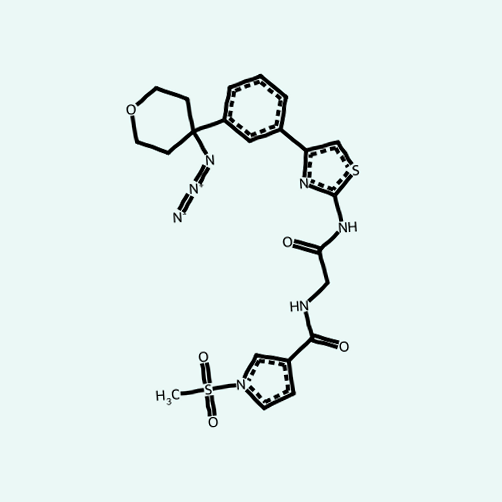 CS(=O)(=O)n1ccc(C(=O)NCC(=O)Nc2nc(-c3cccc(C4(N=[N+]=[N-])CCOCC4)c3)cs2)c1